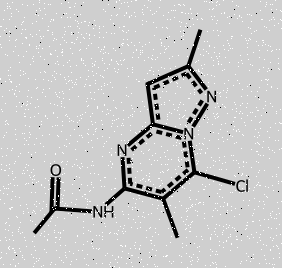 CC(=O)Nc1nc2cc(C)nn2c(Cl)c1C